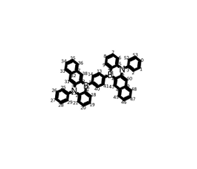 c1ccc(N2c3ccccc3B(c3ccc(B4c5ccccc5N(c5ccccc5)c5cc6ccccc6cc54)cc3)c3cc4ccccc4cc32)cc1